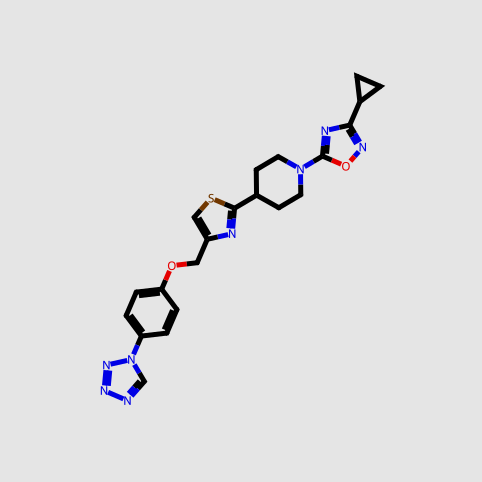 c1cc(-n2cnnn2)ccc1OCc1csc(C2CCN(c3nc(C4CC4)no3)CC2)n1